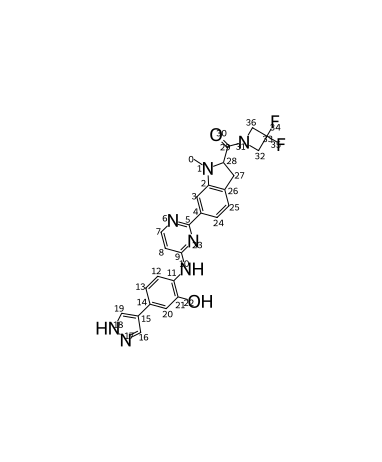 CN1c2cc(-c3nccc(Nc4ccc(-c5cn[nH]c5)cc4O)n3)ccc2CC1C(=O)N1CC(F)(F)C1